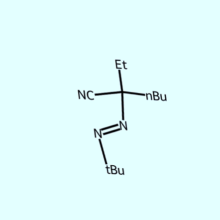 CCCCC(C#N)(CC)N=NC(C)(C)C